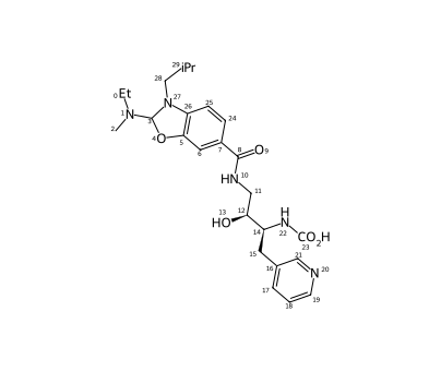 CCN(C)C1Oc2cc(C(=O)NC[C@H](O)[C@H](Cc3cccnc3)NC(=O)O)ccc2N1CC(C)C